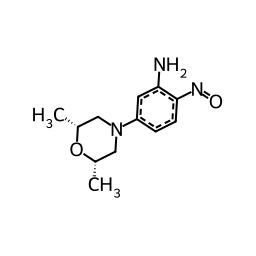 C[C@@H]1CN(c2ccc(N=O)c(N)c2)C[C@H](C)O1